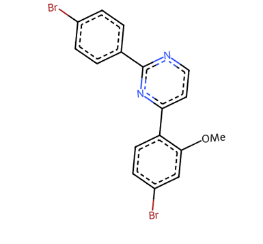 COc1cc(Br)ccc1-c1ccnc(-c2ccc(Br)cc2)n1